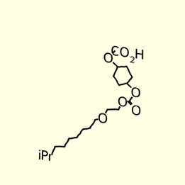 CC(C)CCCCCCCOCCOC(=O)OC1CCC(OC(=O)O)CC1